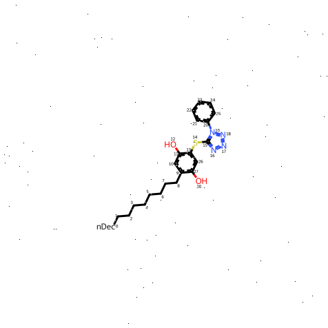 CCCCCCCCCCCCCCCCCCc1cc(O)c(Sc2nnnn2-c2ccccc2)cc1O